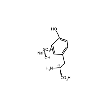 N[C@@H](Cc1ccc(O)cc1)C(=O)O.O=S(=O)(O)O.[NaH]